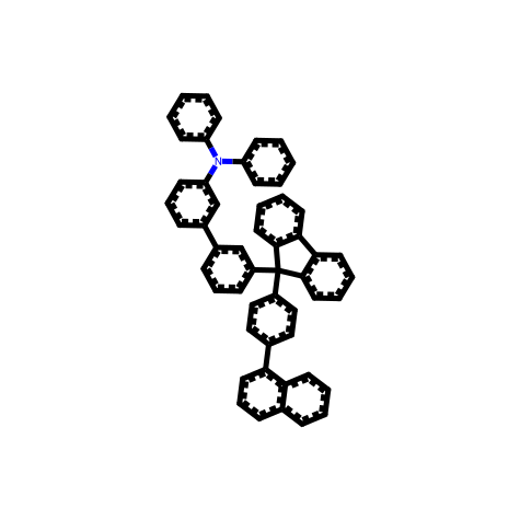 c1ccc(N(c2ccccc2)c2cccc(-c3cccc(C4(c5ccc(-c6cccc7ccccc67)cc5)c5ccccc5-c5ccccc54)c3)c2)cc1